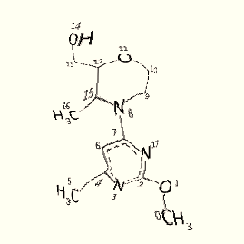 COc1nc(C)cc(N2CCOC(CO)C2C)n1